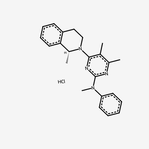 Cc1nc(N(C)c2ccccc2)nc(N2CCc3ccccc3[C@H]2C)c1C.Cl